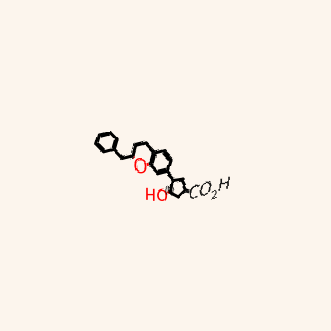 O=C(O)C1CC(c2ccc3c(c2)OC(Cc2ccccc2)CC3)[C@H](O)C1